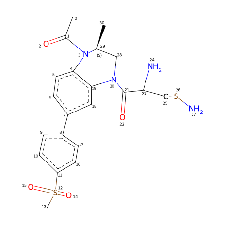 CC(=O)N1c2ccc(-c3ccc(S(C)(=O)=O)cc3)cc2N(C(=O)C(N)CSN)C[C@@H]1C